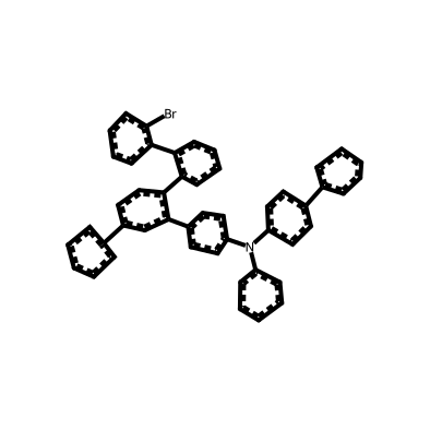 Brc1ccccc1-c1ccccc1-c1ccc(-c2ccccc2)cc1-c1ccc(N(c2ccccc2)c2ccc(-c3ccccc3)cc2)cc1